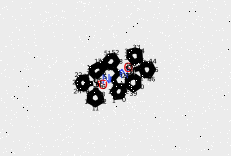 c1ccc(C(=N\O[Si](c2ccccc2)(c2ccccc2)c2ccccc2)/C(=N/O[Si](c2ccccc2)(c2ccccc2)c2ccccc2)c2ccccc2)cc1